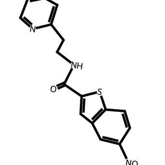 O=C(NCCc1ccccn1)c1cc2cc([N+](=O)[O-])ccc2s1